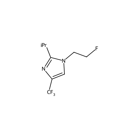 CC(C)c1nc(C(F)(F)F)cn1CCF